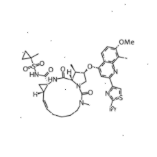 COc1ccc2c(O[C@H]3CN4C(=O)N(C)CCCC/C=C\[C@@H]5C[C@@]5(C(=O)NS(=O)(=O)C5(C)CC5)NC(=O)[C@@H]4[C@H]3C)cc(-c3csc(C(C)C)n3)nc2c1C